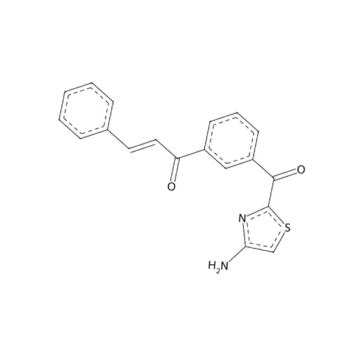 Nc1csc(C(=O)c2cccc(C(=O)C=Cc3ccccc3)c2)n1